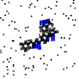 Cc1n[nH]c2ccc(-c3cc(NC[C@@H](N)Cc4ccccc4)cnc3-c3ccc[nH]3)cc12